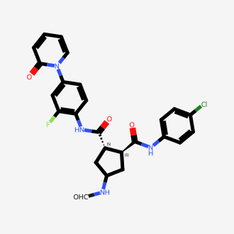 O=CNC1C[C@H](C(=O)Nc2ccc(Cl)cc2)[C@@H](C(=O)Nc2ccc(-n3ccccc3=O)cc2F)C1